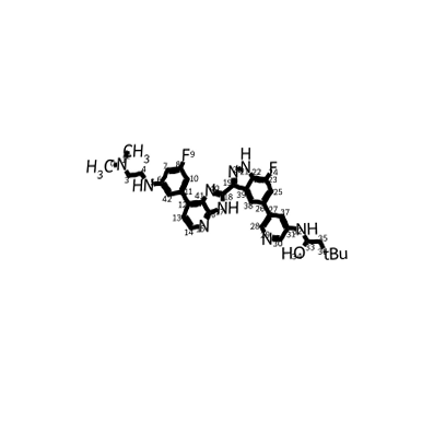 CN(C)CCNc1cc(F)cc(-c2ccnc3[nH]c(-c4n[nH]c5c(F)cc(-c6cncc(NC(O)CC(C)(C)C)c6)cc45)nc23)c1